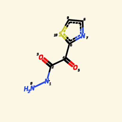 N[N]C(=O)C(=O)c1nccs1